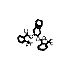 O=C(OC1CC2C3CCC(C3)C2CC1OC(=O)c1ccccc1C(F)(F)F)c1ccccc1C(F)(F)F